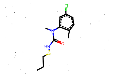 CCCSNC(=O)N(C)c1cc(Cl)ccc1C